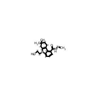 C=NNC(=O)c1cccc2c1c1c(n2CCO)CC(C)(C)CC1